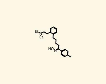 CCN(CC)CCc1ccccc1CCCCC(=NO)c1ccc(C)cc1